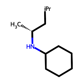 CC(C)C[C@@H](C)NC1CCCCC1